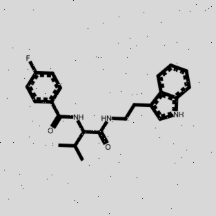 CC(C)C(NC(=O)c1ccc(F)cc1)C(=O)NCCc1c[nH]c2ccccc12